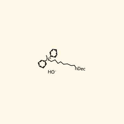 CCCCCCCCCCCCCCCCCC[N+](C)(c1ccccc1)c1ccccc1.[OH-]